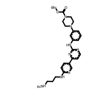 CC(=O)NCCCNc1ccc(-c2ccnc(Nc3cccc(N4CCN(C(=O)OC(C)(C)C)CC4)c3)n2)cn1